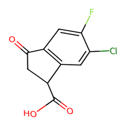 O=C1CC(C(=O)O)c2cc(Cl)c(F)cc21